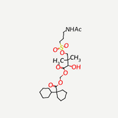 CC(=O)NCCCS(=O)(=O)OCC(C)(C)[C@@H](O)C(=O)OCOC(=O)C1(C2CCCCC2)CCCCC1